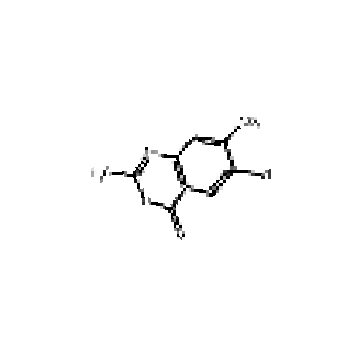 Cc1nc2cc([N+](=O)[O-])c(Cl)cc2c(=O)o1